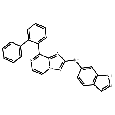 c1ccc(-c2ccccc2-c2nccn3nc(Nc4ccc5cn[nH]c5c4)nc23)cc1